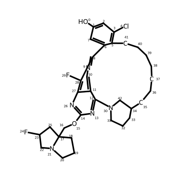 Oc1cc(Cl)c2c(c1)-c1ncc3c(nc(OCC45CCCN4CC(F)C5)nc3c1F)N1CCCC(CCCCCCC2)C1